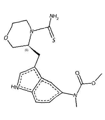 COC(=O)N(C)c1ccc2[nH]cc(C[C@H]3COCCN3C(N)=S)c2c1